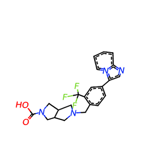 O=C(O)N1CC2CN(Cc3ccc(-c4cnc5ccccn45)cc3C(F)(F)F)CC2C1